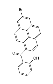 O=C(c1ccccc1O)c1ccc2ccc3cc(Br)cc4ccc1c2c34